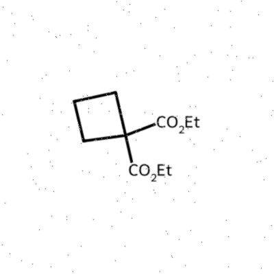 CCOC(=O)C1(C(=O)OCC)CCC1